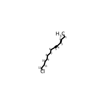 CCC=CC#CCCCCCCCCl